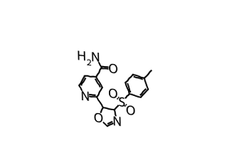 Cc1ccc(S(=O)(=O)C2N=COC2c2cc(C(N)=O)ccn2)cc1